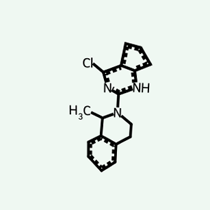 CC1c2ccccc2CCN1c1nc(Cl)c2cccc-2[nH]1